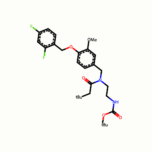 COc1cc(CN(CCNC(=O)OC(C)(C)C)C(=O)CC(C)(C)C)ccc1OCc1ccc(F)cc1F